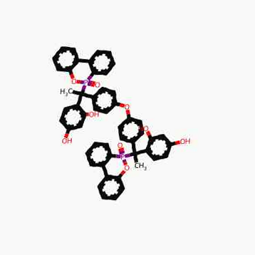 CC(c1ccc(Oc2ccc(C(C)(c3ccc(O)cc3O)P3(=O)Oc4ccccc4-c4ccccc43)cc2)cc1)(c1ccc(O)cc1O)P1(=O)Oc2ccccc2-c2ccccc21